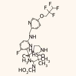 CC1(C)C(NC(=O)O)=N[C@](C)(c2nc(NCc3ccc(OCC(F)(F)C(F)F)cn3)ccc2F)[C@H]2CCN[SH]21=O